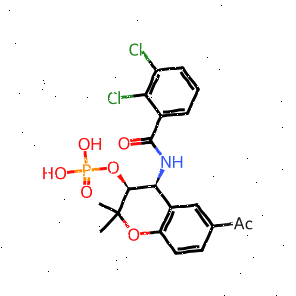 CC(=O)c1ccc2c(c1)[C@H](NC(=O)c1cccc(Cl)c1Cl)[C@H](OP(=O)(O)O)C(C)(C)O2